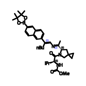 CCCC/C(=C\N=C(/C)[C@@H]1CC2(CC2)CN1C(=O)[C@@H](NC(=O)OC)C(C)C)c1ccc2cc(B3OC(C)(C)C(C)(C)O3)ccc2c1